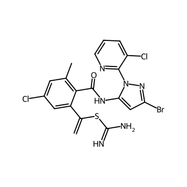 C=C(SC(=N)N)c1cc(Cl)cc(C)c1C(=O)Nc1cc(Br)nn1-c1ncccc1Cl